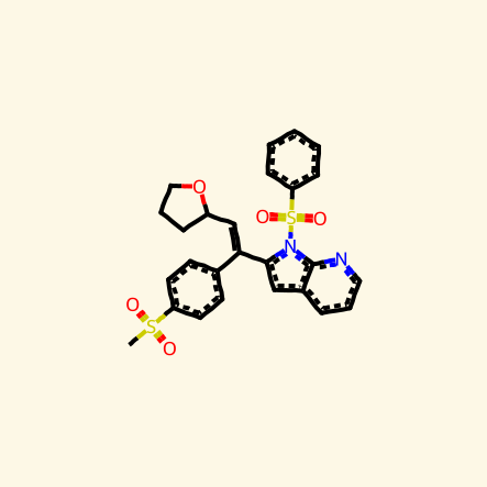 CS(=O)(=O)c1ccc(C(=CC2CCCO2)c2cc3cccnc3n2S(=O)(=O)c2ccccc2)cc1